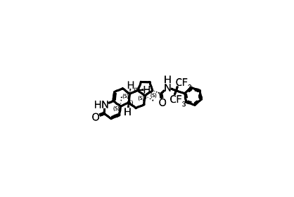 C[C@]12CC[C@H]3[C@@H](CC=C4NC(=O)C=C[C@@]43C)[C@@H]1CC[C@@H]2C(=O)NC(c1ccccc1)(C(F)(F)F)C(F)(F)F